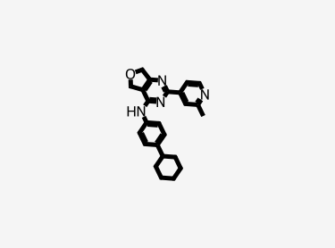 Cc1cc(-c2nc3c(c(Nc4ccc(C5CCCCC5)cc4)n2)COC3)ccn1